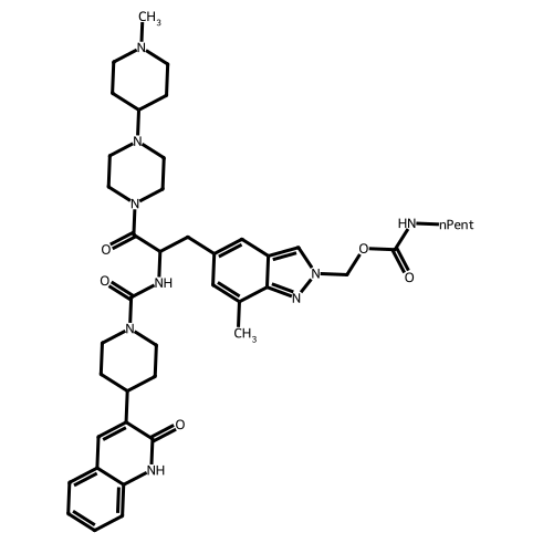 CCCCCNC(=O)OCn1cc2cc(CC(NC(=O)N3CCC(c4cc5ccccc5[nH]c4=O)CC3)C(=O)N3CCN(C4CCN(C)CC4)CC3)cc(C)c2n1